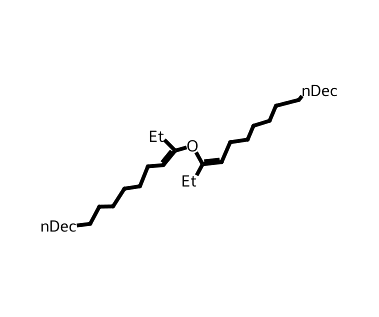 CCCCCCCCCCCCCCCCC=C(CC)OC(=CCCCCCCCCCCCCCCCC)CC